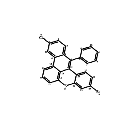 Clc1ccc2c(-c3ccccc3)c3c4c(cccc4c2c1)Sc1cc(Br)ccc1-3